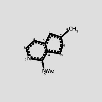 CNc1nccc2cc(C)ccc12